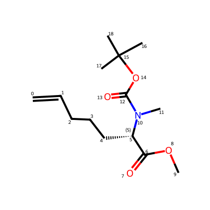 C=CCCC[C@@H](C(=O)OC)N(C)C(=O)OC(C)(C)C